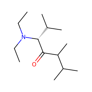 CCN(CC)[C@@H](C(=O)C(C)C(C)C)C(C)C